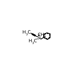 CC#C[Si](C)(C)Cc1ccccc1